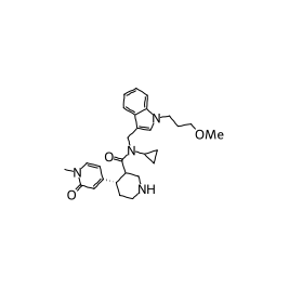 COCCCn1cc(CN(C(=O)C2CNCC[C@@H]2c2ccn(C)c(=O)c2)C2CC2)c2ccccc21